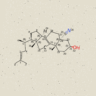 CC(C)=CC[C@@H](C)[C@H]1CC[C@H]2C3=C(CC[C@]12C)[C@@]1(C)CC[C@H](O)C[C@]1(C#N)CC3